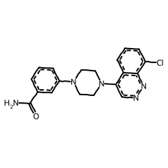 NC(=O)c1cccc(N2CCN(c3cnnc4c(Cl)cccc34)CC2)c1